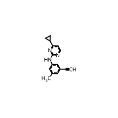 C#Cc1cc(C)cc(Nc2nccc(C3CC3)n2)c1